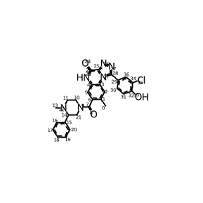 Cc1cc2c(cc1C(=O)N1CCN(C)C(c3ccccc3)C1)[nH]c(=O)c1nnc(-c3ccc(O)c(Cl)c3)n12